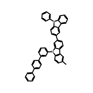 Cc1ccc2c(c1)c1ccc(-c3ccc4c(c3)c3ccccc3n4-c3ccccc3)cc1n2-c1cccc(-c2ccc(-c3ccccc3)cc2)c1